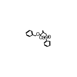 C=C(CS(=O)(=O)c1ccccc1)C(=O)OCc1ccccc1